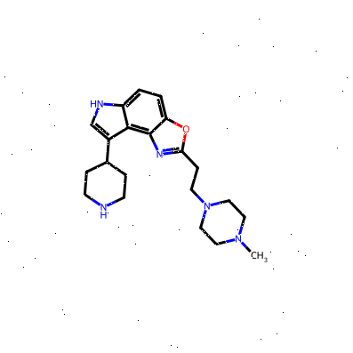 CN1CCN(CCc2nc3c(ccc4[nH]cc(C5CCNCC5)c43)o2)CC1